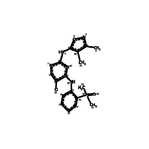 Cc1noc(Nc2ncc(Cl)c(Nc3ccccc3P(C)(C)=O)n2)c1C